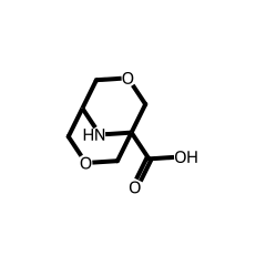 O=C(O)C12COCC(COC1)N2